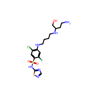 NCCC(CO)NCCCCNc1cc(F)c(S(=O)(=O)Nc2ncns2)cc1Cl